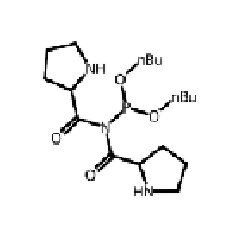 CCCCOP(OCCCC)N(C(=O)C1CCCN1)C(=O)C1CCCN1